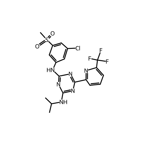 CC(C)Nc1nc(Nc2cc(Cl)cc(S(C)(=O)=O)c2)nc(-c2cccc(C(F)(F)F)n2)n1